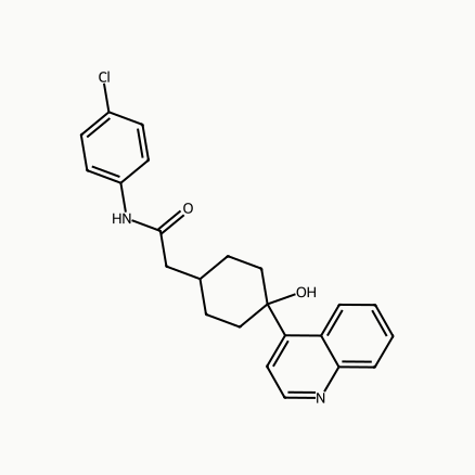 O=C(CC1CCC(O)(c2ccnc3ccccc23)CC1)Nc1ccc(Cl)cc1